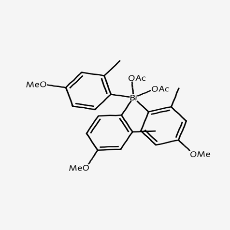 COc1cc[c]([Bi]([O]C(C)=O)([O]C(C)=O)([c]2ccc(OC)cc2C)[c]2ccc(OC)cc2C)c(C)c1